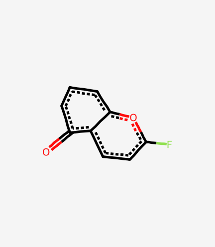 O=c1cccc2oc(F)ccc1-2